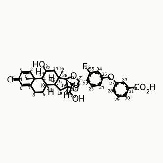 C[C@]12C=CC(=O)C=C1CC[C@@H]1[C@@H]2[C@@H](O)C[C@@]2(C)[C@H]1C[C@H]1O[C@@H](c3ccc(Oc4cccc(C(=O)O)c4)cc3F)O[C@]12C(=O)CO